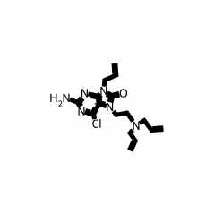 C=CCN(CC=C)CCn1c(=O)n(CC=C)c2nc(N)nc(Cl)c21